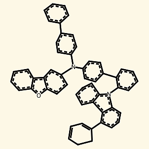 C1=CCCC(c2cccc3c2c2ccccc2n3-c2ccccc2-c2ccc(N(c3ccc(-c4ccccc4)cc3)c3ccc4oc5ccccc5c4c3)cc2)=C1